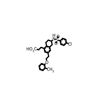 Cc1ccccc1OCCc1cc(CCC(=O)O)c2c(c1)CC(NS(=O)(=O)c1ccc(Cl)cc1)CC2